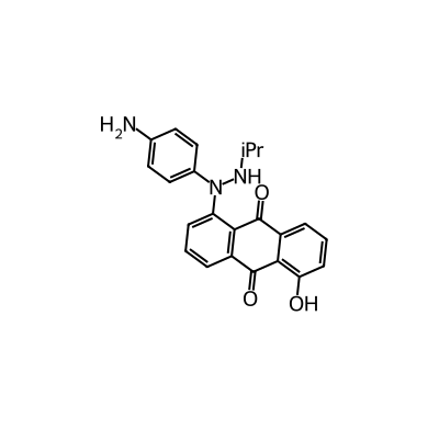 CC(C)NN(c1ccc(N)cc1)c1cccc2c1C(=O)c1cccc(O)c1C2=O